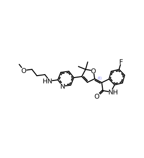 COCCCNc1ccc(C2=C/C(=C3\C(=O)Nc4ccc(F)cc43)OC2(C)C)cn1